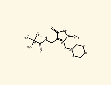 Cn1[nH]c(=O)c(CNC(=O)C(C)(C)C)c1CN1CCCCC1